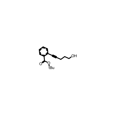 CC(C)(C)OC(=O)c1ccccc1C#CCCCO